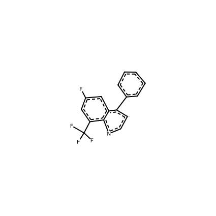 Fc1cc(C(F)(F)F)c2nc[c]c(-c3ccccc3)c2c1